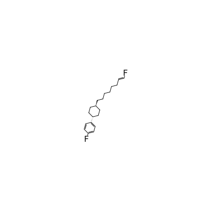 F/C=C/CCCCCC[C@H]1CC[C@H](c2ccc(F)cc2)CC1